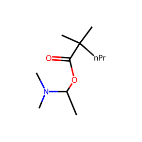 CCCC(C)(C)C(=O)OC(C)N(C)C